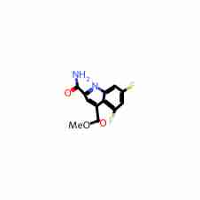 COC(=O)c1cc(C(N)=O)nc2cc(F)cc(F)c12